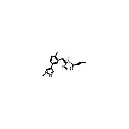 C=N/C(=C\c1cc(-c2cnn(C)c2)ccc1C)NC(=O)C#CC